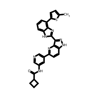 Cc1ccc(-c2cccc3[nH]c(-c4n[nH]c5ccc(-c6cncc(NC(=O)C7CCC7)c6)nc45)nc23)s1